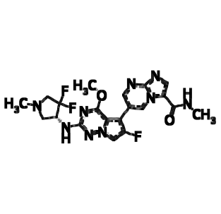 CNC(=O)c1cnc2ncc(-c3c(F)cn4nc(N[C@@H]5CN(C)CC5(F)F)nc(OC)c34)cn12